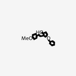 COc1ccc(C=Cc2cc(OCc3ccccc3)ccc2O)cc1